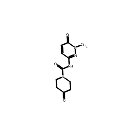 Cn1nc(NC(=O)N2CCC(=O)CC2)ccc1=O